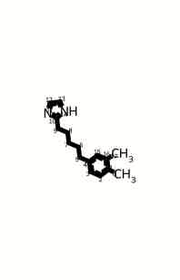 Cc1ccc(CCCCCc2ncc[nH]2)cc1C